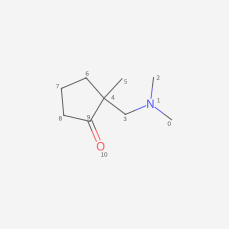 CN(C)CC1(C)CCCC1=O